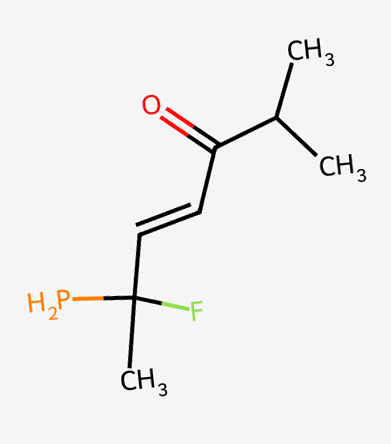 CC(C)C(=O)/C=C/C(C)(F)P